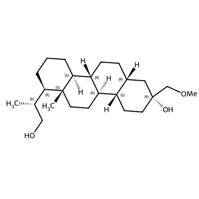 COC[C@@]1(O)CC[C@H]2[C@H](CC[C@@H]3[C@@H]2CC[C@]2(C)[C@@H]([C@@H](C)CO)CCC[C@@H]32)C1